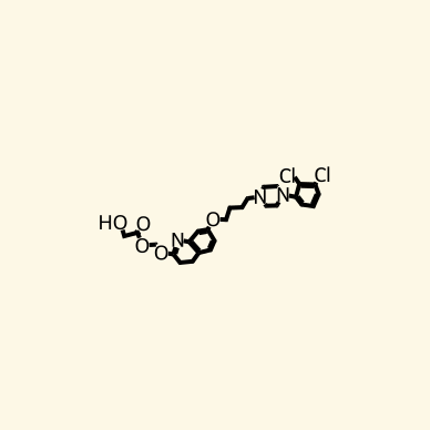 O=C(CO)OCOC1=Nc2cc(OCCCCN3CCN(c4cccc(Cl)c4Cl)CC3)ccc2CC1